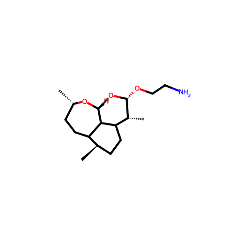 C[C@@H]1CCC2C3C1CC[C@H](C)O[C@@H]3O[C@H](OCCN)[C@@H]2C